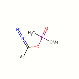 COP(C)(=O)OC(=[N+]=[N-])C(C)=O